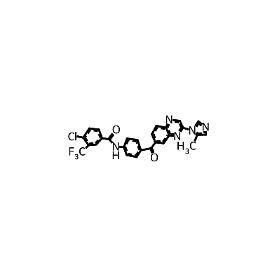 Cc1cncn1-c1cnc2ccc(C(=O)c3ccc(NC(=O)c4ccc(Cl)c(C(F)(F)F)c4)cc3)cc2n1